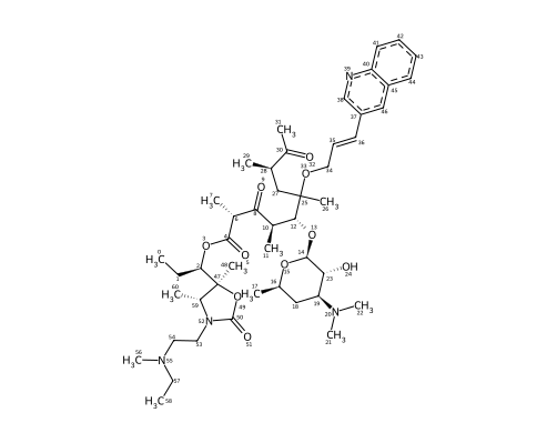 CC[C@@H](OC(=O)[C@H](C)C(=O)[C@H](C)[C@@H](O[C@@H]1O[C@H](C)C[C@H](N(C)C)[C@H]1O)C(C)(C[C@@H](C)C(C)=O)OC/C=C/c1cnc2ccccc2c1)[C@@]1(C)OC(=O)N(CCN(C)CC)[C@@H]1C